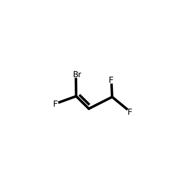 FC(Br)=CC(F)F